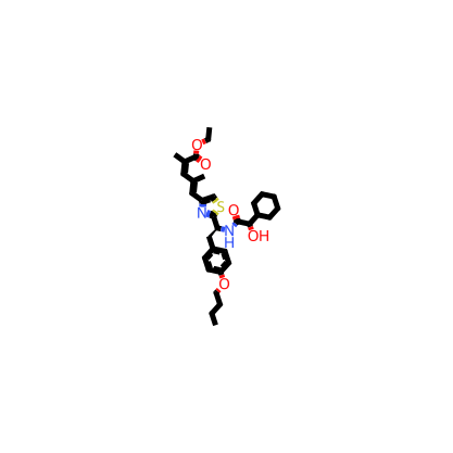 CCCCOc1ccc(C[C@H](NC(=O)C(O)C2CCCCC2)c2nc(/C=C(C)/C=C(/C)C(=O)OCC)cs2)cc1